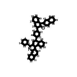 c1ccc(-c2nc3c4ccccc4ccc3c3c2cc(-c2ccc(-c4cc5ccccc5c5c4oc4cc6ccccc6cc45)cc2)c2ccccc23)cc1